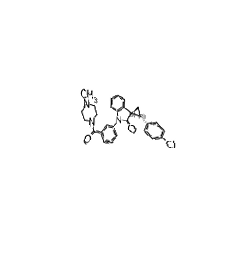 CN1CCN(C(=O)c2cccc(N3C(=O)[C@]4(C[C@@H]4c4ccc(Cl)cc4)c4ccccc43)c2)CC1